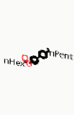 CCCCCCC(=O)Oc1ccc(C2=CCC(C(C)CCCCC)CC2)cc1